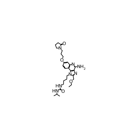 CCOCc1nc2c(N)nc3cc(OCCCN4CCCC4=O)ccc3c2n1CCCCNC(=O)NC(C)C